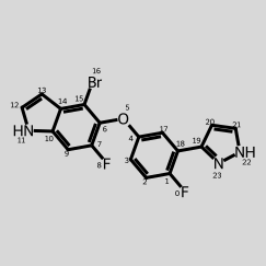 Fc1ccc(Oc2c(F)cc3[nH]ccc3c2Br)cc1-c1cc[nH]n1